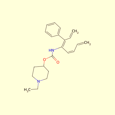 C=C/C=C\C(NC(=O)OC1CCN(CC)CC1)=C(/C=C)c1ccccc1